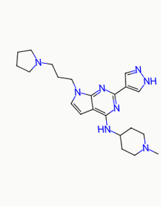 CN1CCC(Nc2nc(-c3cn[nH]c3)nc3c2ccn3CCCN2CCCC2)CC1